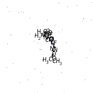 COC(C)COc1cnc(/C(F)=C/c2ccc(F)c(C3(C)CS(=O)(=O)N(C)C(N)=N3)c2)cn1